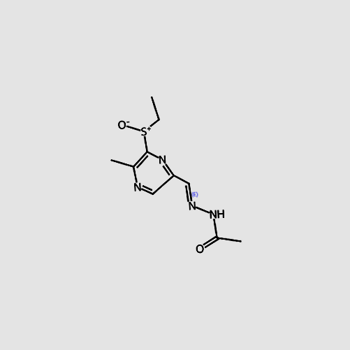 CC[S+]([O-])c1nc(/C=N/NC(C)=O)cnc1C